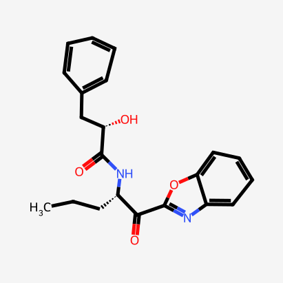 CCC[C@H](NC(=O)[C@@H](O)Cc1ccccc1)C(=O)c1nc2ccccc2o1